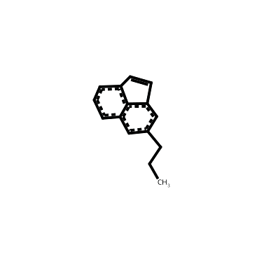 CCCc1cc2c3c(cccc3c1)C=C2